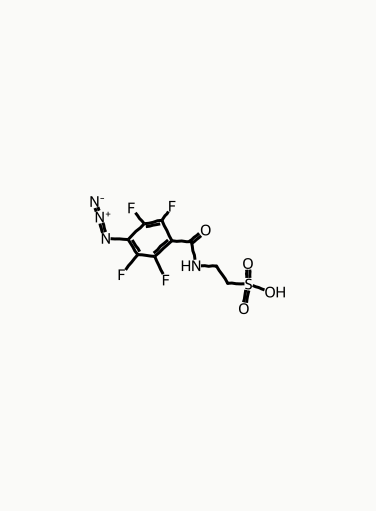 [N-]=[N+]=Nc1c(F)c(F)c(C(=O)NCCS(=O)(=O)O)c(F)c1F